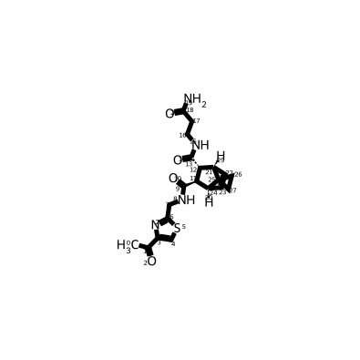 CC(=O)c1csc(CNC(=O)[C@H]2[C@H](C(=O)NCCC(N)=O)[C@H]3C=C[C@@H]2C32CC2)n1